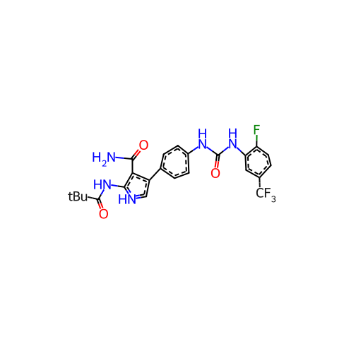 CC(C)(C)C(=O)Nc1[nH]cc(-c2ccc(NC(=O)Nc3cc(C(F)(F)F)ccc3F)cc2)c1C(N)=O